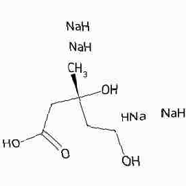 C[C@@](O)(CCO)CC(=O)O.[NaH].[NaH].[NaH].[NaH]